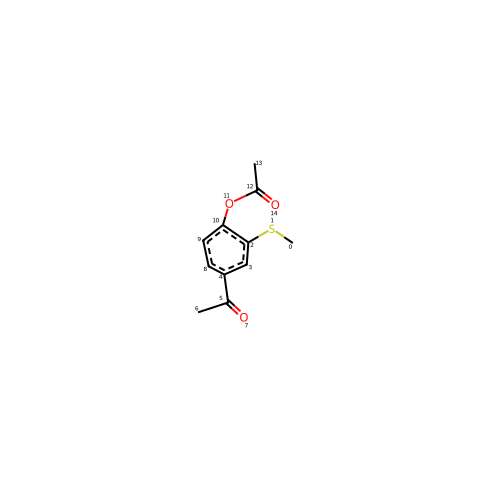 CSc1cc(C(C)=O)ccc1OC(C)=O